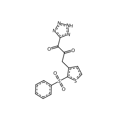 O=C(Cc1ccsc1S(=O)(=O)c1ccccc1)C(=O)c1nn[nH]n1